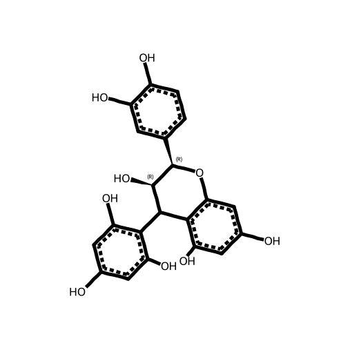 Oc1cc(O)c(C2c3c(O)cc(O)cc3O[C@H](c3ccc(O)c(O)c3)[C@@H]2O)c(O)c1